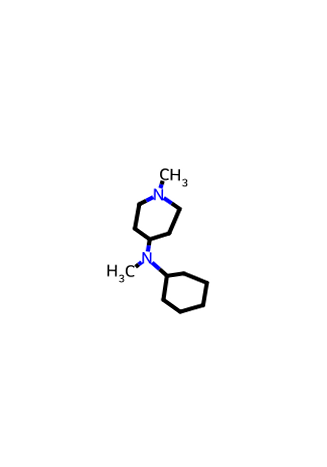 CN1CCC(N(C)C2CCCCC2)CC1